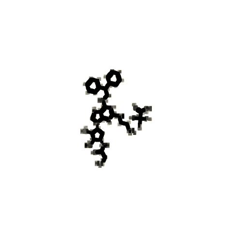 CCC(=O)N[C@H]1C[C@@H](n2cnc3c(NCC(c4ccccc4)c4ccccc4)nc(NCCN)nc32)[C@H](O)[C@@H]1O.O=C(O)C(F)(F)F